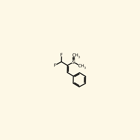 C[SiH](C)C(=Cc1ccccc1)C(F)F